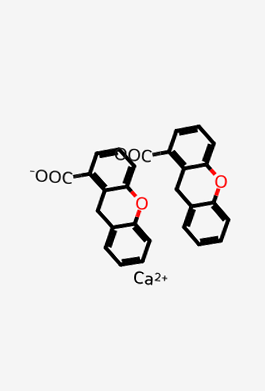 O=C([O-])c1cccc2c1Cc1ccccc1O2.O=C([O-])c1cccc2c1Cc1ccccc1O2.[Ca+2]